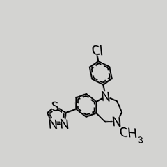 CN1CCN(c2ccc(Cl)cc2)c2ccc(-c3nncs3)cc2C1